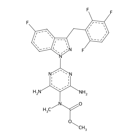 COC(=O)N(C)c1c(N)nc(-n2nc(Cc3c(F)ccc(F)c3F)c3cc(F)ccc32)nc1N